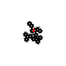 CC1(C)c2ccccc2-c2c(-c3cc4c(cc3N(c3ccc(-c5ccc6ccccc6c5)cc3)c3ccc5c6ccccc6c6ccccc6c5c3)C3(c5ccccc5-c5ccccc53)c3ccccc3-4)cccc21